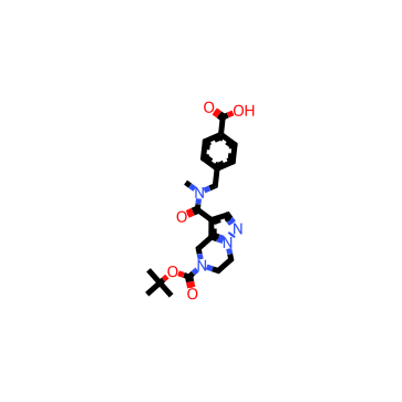 CN(Cc1ccc(C(=O)O)cc1)C(=O)c1cnn2c1CN(C(=O)OC(C)(C)C)CC2